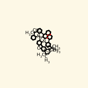 CC(C)(C)c1ccc(N2c3cc4ccccc4c4c3B(c3ccc5oc6cc7c(cc6c5c32)C(C)(C)CCC7(C)C)N2c3ccccc3C(C)(C)c3cccc-4c32)c(-c2ccccc2)c1